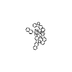 CC1(c2ccc3c(oc4cc5ccccc5cc43)c2-n2c3cc4ccccc4cc3c3ccc4ccccc4c32)N=C(c2c#cc3ccccc3c2)N=C(c2cccc3oc4ccccc4c23)N1